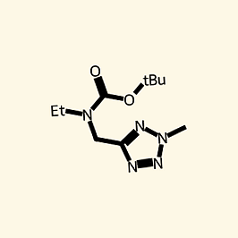 CCN(Cc1nnn(C)n1)C(=O)OC(C)(C)C